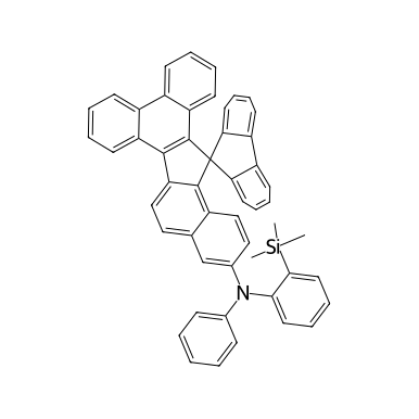 C[Si](C)(C)c1ccccc1N(c1ccccc1)c1ccc2c3c(ccc2c1)-c1c(c2ccccc2c2ccccc12)C31c2ccccc2-c2ccccc21